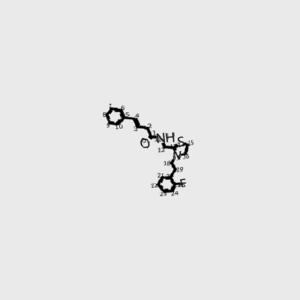 O=C(CC=Cc1ccccc1)NCC1SC=CN1CCc1ccccc1F